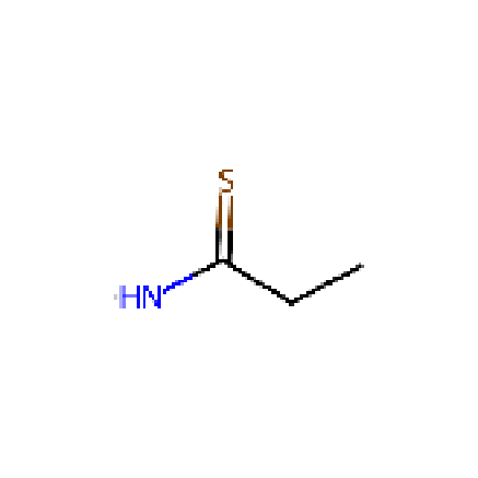 CCC([NH])=S